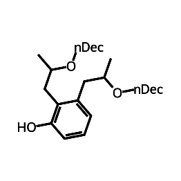 CCCCCCCCCCOC(C)Cc1cccc(O)c1CC(C)OCCCCCCCCCC